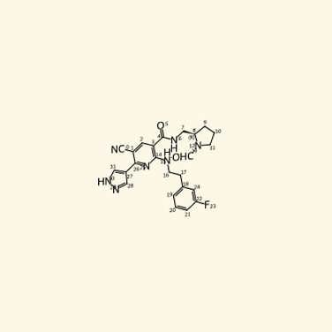 N#Cc1cc(C(=O)NC[C@H]2CCCN2[C]=O)c(NCCc2cccc(F)c2)nc1-c1cn[nH]c1